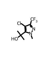 Cn1nc(C(F)(F)F)c(Cl)c1C(C)(C)O